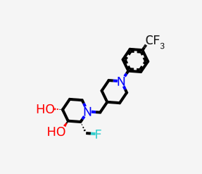 O[C@H]1[C@H](O)CCN(CC2CCN(c3ccc(C(F)(F)F)cc3)CC2)[C@@H]1CF